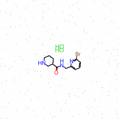 Cl.Cl.O=C(NCc1cccc(Br)n1)C1CCCNC1